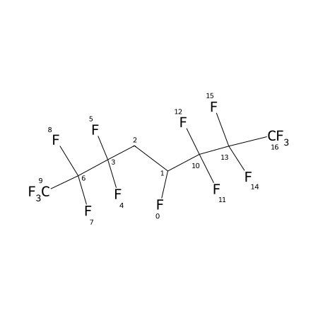 FC(CC(F)(F)C(F)(F)C(F)(F)F)C(F)(F)C(F)(F)C(F)(F)F